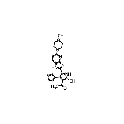 CC(=O)c1c(C)[nH]c(-c2nc3nc(N4CCN(C)CC4)ccc3[nH]2)c1-c1ccsc1